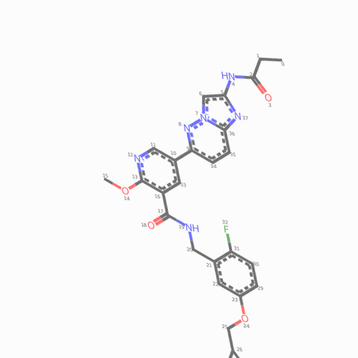 CCC(=O)Nc1cn2nc(-c3cnc(OC)c(C(=O)NCc4cc(OCC5CC5)ccc4F)c3)ccc2n1